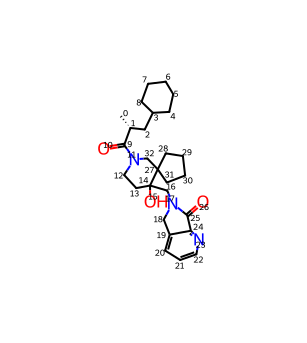 C[C@H](CC1CCCCC1)C(=O)N1CCC(O)(CN2Cc3cccnc3C2=O)C2(CCCC2)C1